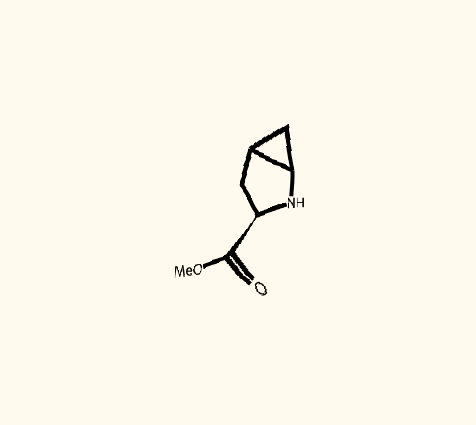 COC(=O)[C@H]1CC2CC2N1